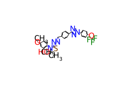 COc1ccc(N2/C(=N/N=C/c3ccc(-c4ncn(-c5ccc(OC(F)(F)F)cc5)n4)cc3)SCC2(C)O)c(C)c1